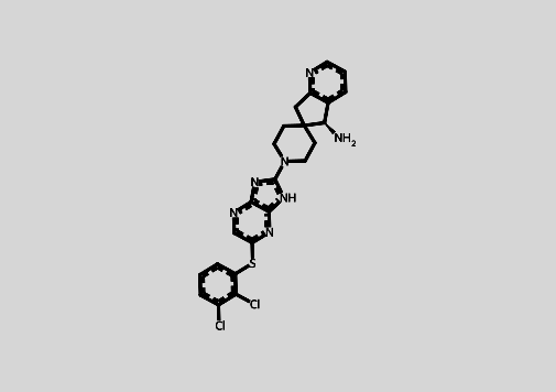 N[C@@H]1c2cccnc2CC12CCN(c1nc3ncc(Sc4cccc(Cl)c4Cl)nc3[nH]1)CC2